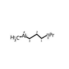 CCCCC[CH2][Al][CH3]